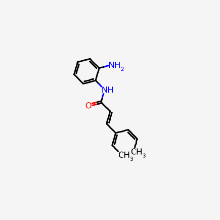 C\C=C/C(/C=C/C(=O)Nc1ccccc1N)=C\C